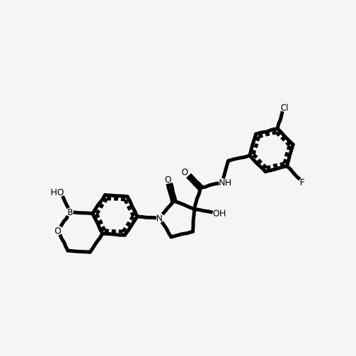 O=C(NCc1cc(F)cc(Cl)c1)C1(O)CCN(c2ccc3c(c2)CCOB3O)C1=O